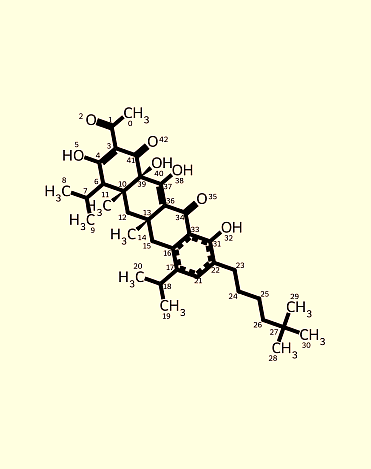 CC(=O)C1=C(O)C(C(C)C)[C@@]2(C)C[C@@]3(C)Cc4c(C(C)C)cc(CCCCC(C)(C)C)c(O)c4C(=O)C3=C(O)[C@@]2(O)C1=O